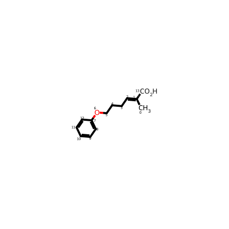 CC(=CCCCOc1ccccc1)C(=O)O